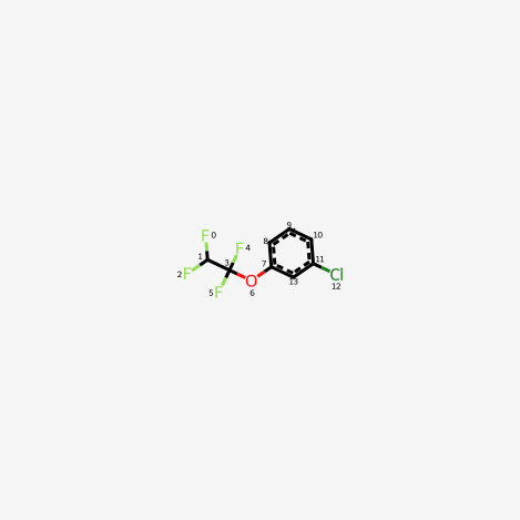 FC(F)C(F)(F)Oc1c[c]cc(Cl)c1